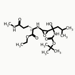 CCOC(=O)[C@H](CCC(=O)NC)NC1OC1C(O)(CC(C)C)NC(=O)OC(C)(C)C